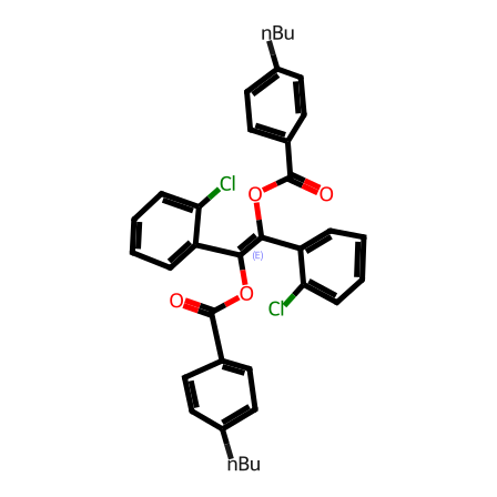 CCCCc1ccc(C(=O)O/C(=C(/OC(=O)c2ccc(CCCC)cc2)c2ccccc2Cl)c2ccccc2Cl)cc1